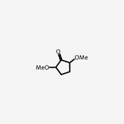 COC1CCC(OC)C1=O